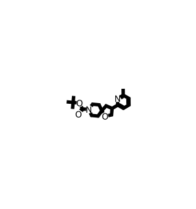 Cc1cccc(C2COC3(CCN(C(=O)OC(C)(C)C)CC3)C2)n1